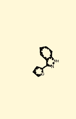 c1coc(-c2n[nH]c3ccccc23)c1